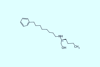 CCCC[C@@H](CO)NCCCCCCCCc1ccccc1